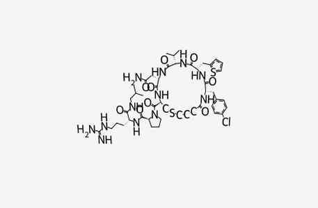 CC(C)CNC(=O)[C@@H](CCCNC(=N)N)NC(=O)[C@@H]1CCCN1C(=O)[C@@H]1CSCCCC(=O)N[C@@H](Cc2ccc(Cl)cc2)C(=O)N[C@@H](Cc2cccs2)C(=O)N[C@@H](C(C)C)C(=O)N[C@@H](CC(N)=O)C(=O)N1